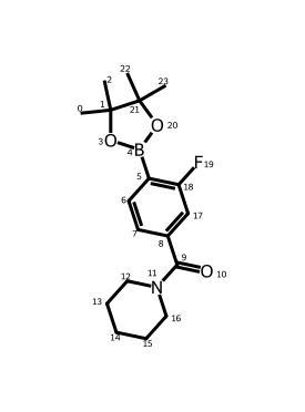 CC1(C)OB(c2ccc(C(=O)N3CCCCC3)cc2F)OC1(C)C